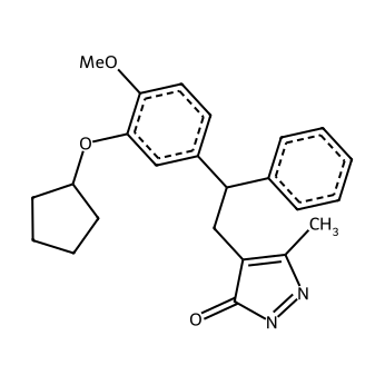 COc1ccc(C(CC2=C(C)N=NC2=O)c2ccccc2)cc1OC1CCCC1